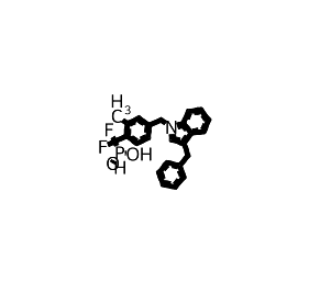 Cc1cc(Cn2cc(Cc3ccccc3)c3ccccc32)ccc1C(F)(F)[PH](=O)O